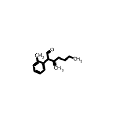 C=C(CCCC)C(C=O)c1ccccc1C